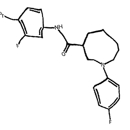 CC(C)c1ccc(NC(=O)C2CCCCN(c3ccc(F)cc3)C2)cc1F